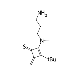 C=C1C(=S)C(N(C)CCCN)=C1C(C)(C)C